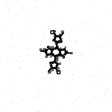 Cc1cc2c(-c3cc(Cl)c(C)s3)c3sc(C)cc3c(-c3cc(Cl)c(C)s3)c2s1